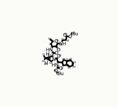 C=CCC(NC(=O)[C@@H]1[C@H]2[C@@H](CN1C(=O)[C@@H](NC(=O)OC(C)(C)C)C1Cc3ccccc3C1)C2(C)C)C(=O)C(=O)NCCC(=O)OC(C)(C)C